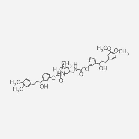 COc1ccc(CC[C@@H](O)c2cccc(OCC(=O)NCC(CNC(=O)COc3cccc([C@H](O)CCc4ccc(C)c(C)c4)c3)CN(C)C)c2)cc1OC